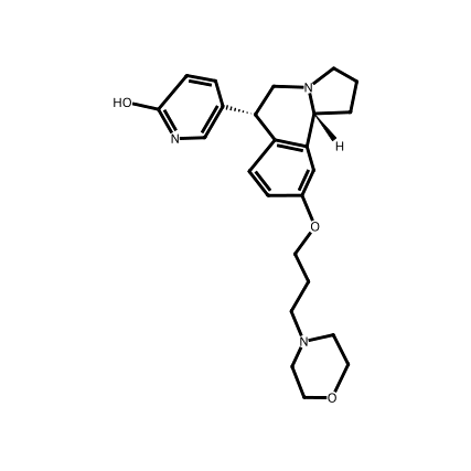 Oc1ccc([C@@H]2CN3CCC[C@@H]3c3cc(OCCCN4CCOCC4)ccc32)cn1